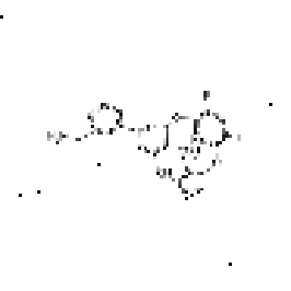 Cc1cc(Oc2nc(Oc3ccsc3C(=O)O)c(F)cc2F)cc(-c2cccc(CN)c2)c1